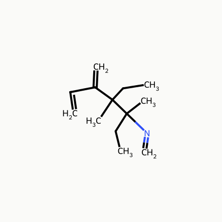 C=CC(=C)C(C)(CC)C(C)(CC)N=C